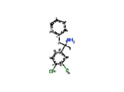 CC(N)(Cc1ccccc1)c1ccc(Cl)c(Cl)c1